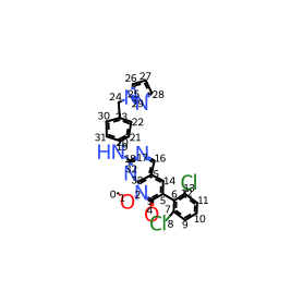 COn1c(=O)c(-c2c(Cl)cccc2Cl)cc2cnc(Nc3ccc(Cn4cccn4)cc3)nc21